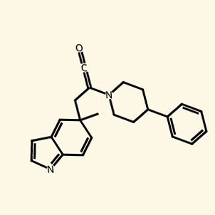 CC1(CC(=C=O)N2CCC(c3ccccc3)CC2)C=CC2=NC=CC2=C1